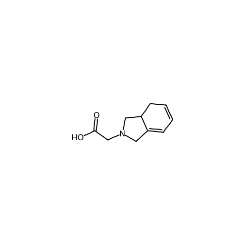 O=C(O)CN1CC2=CC=CCC2C1